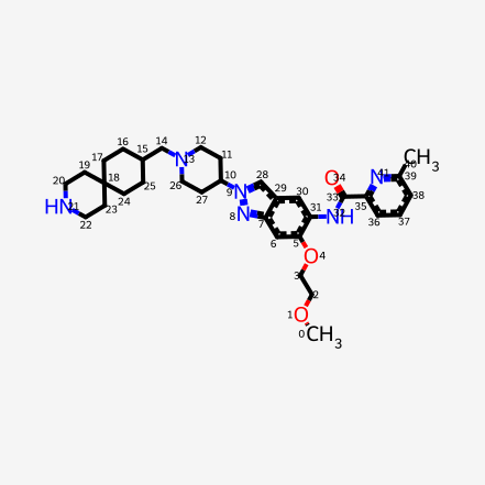 COCCOc1cc2nn(C3CCN(CC4CCC5(CCNCC5)CC4)CC3)cc2cc1NC(=O)c1cccc(C)n1